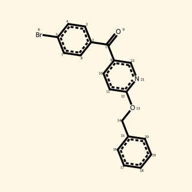 O=C(c1ccc(Br)cc1)c1ccc(OCc2ccccc2)nc1